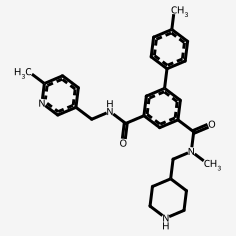 Cc1ccc(-c2cc(C(=O)NCc3ccc(C)nc3)cc(C(=O)N(C)CC3CCNCC3)c2)cc1